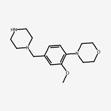 COc1cc(CN2CCNCC2)ccc1N1CCOCC1